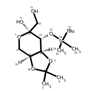 CC1(C)O[C@H]2[C@H](CO[C@@](O)(CO)[C@@H]2O[Si](C)(C)C(C)(C)C)O1